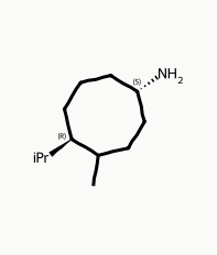 CC(C)[C@H]1CCC[C@H](N)CCC1C